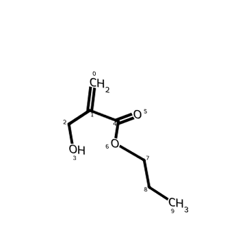 C=C(CO)C(=O)OCCC